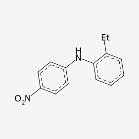 CCc1ccccc1Nc1ccc([N+](=O)[O-])cc1